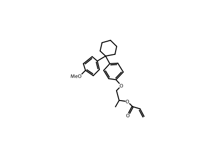 C=CC(=O)OC(C)COc1ccc(C2(c3ccc(OC)cc3)CCCCC2)cc1